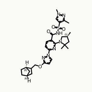 Cc1nn(C)cc1S(=O)(=O)NC(=O)c1ccc(-n2ccc(OCC3C[C@@H]4CC[C@@H]3C4)n2)nc1N1C[C@@H](C)CC1(C)C